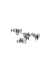 CS(=O)(=O)N1CCN(Cc2cc3nc(-c4cccc5[nH]ncc45)nc(NCCCCC(=O)NO)c3s2)CC1